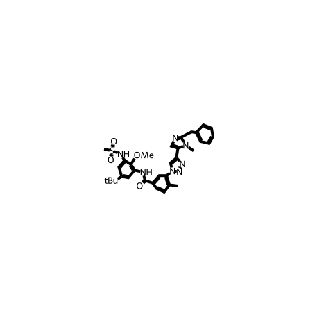 COc1c(NC(=O)c2ccc(C)c(-n3cc(-c4cnc(Cc5ccccc5)n4C)nn3)c2)cc(C(C)(C)C)cc1NS(C)(=O)=O